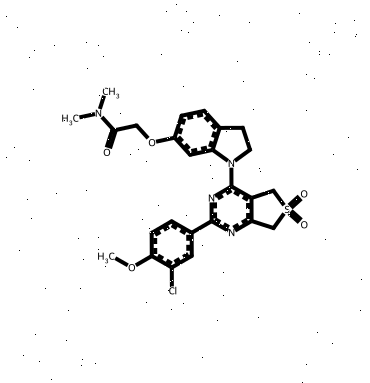 COc1ccc(-c2nc3c(c(N4CCc5ccc(OCC(=O)N(C)C)cc54)n2)CS(=O)(=O)C3)cc1Cl